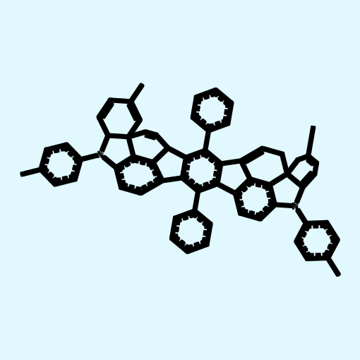 CC1=CC23C=CC4c5c(-c6ccccc6)c6c(c(-c7ccccc7)c5-c5ccc(c2c54)N(c2ccc(C)cc2)C3C=C1)-c1ccc2c3c1C6=CCC31CC(C)=CC=C1N2c1ccc(C)cc1